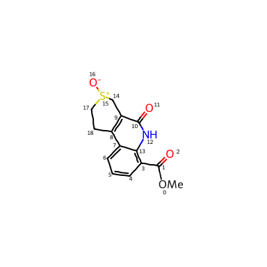 COC(=O)c1cccc2c3c(c(=O)[nH]c12)C[S+]([O-])CC3